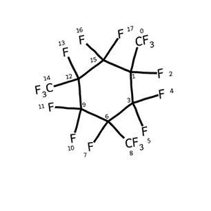 FC(F)(F)C1(F)C(F)(F)C(F)(C(F)(F)F)C(F)(F)C(F)(C(F)(F)F)C1(F)F